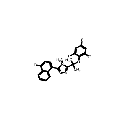 Cn1c(-c2ccc(F)c3ccccc23)nnc1C(C)(C)Oc1c(F)cc(F)cc1F